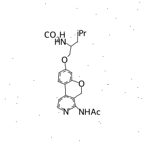 CC(=O)Nc1nccc2c1COc1cc(OCC(CC(C)C)NC(=O)O)ccc1-2